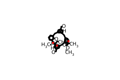 CCOC(=O)C(C)Oc1c2cccc1Cc1cc(C=O)cc(c1O)Cc1cccc(c1OC(C)C(=O)OCC)Cc1cc(C=O)cc(c1O)C2